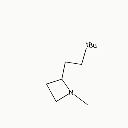 CN1CCC1CCC(C)(C)C